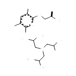 CC(O)CN(CC(C)O)CC(C)O.O=C(O)COc1nc(Cl)c(Cl)cc1Cl